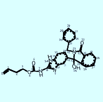 C=CCCOC(=O)Nc1nc2cc(C3(O)c4ccccc4C(=O)N3Cc3ccccc3)ccc2[nH]1